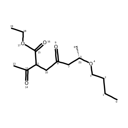 CCCCO[C@@H](C)CC(=O)CC(C(C)=O)C(=O)OCC